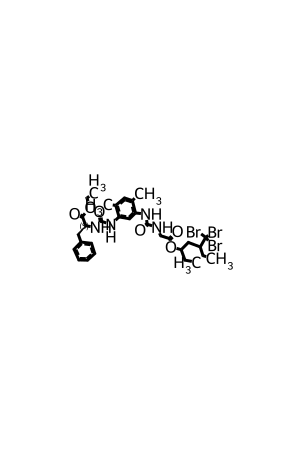 CCOC(=O)[C@H](Cc1ccccc1)NC(=O)Nc1cc(NC(=O)NCC(=O)OC(CC)CC(CC)C(Br)(Br)Br)c(C)cc1C